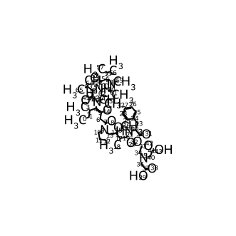 CC[C@H](C)/C(=C(\CC(=O)N1CCC[C@H]1[C@H](OC)[C@@H](C)C(=O)N[C@@H](Cc1ccccc1)C(=O)OCCN(CC(=O)O)CC(=O)O)OC)N(C)C(=O)[C@@H](NC(=O)[C@H](C(C)C)N(C)C(C)C)C(C)C